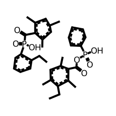 CCc1c(C)cc(C)c(C(=O)OP(=O)(O)c2ccccc2)c1C.CCc1ccccc1P(=O)(O)C(=O)c1c(C)cc(C)cc1C